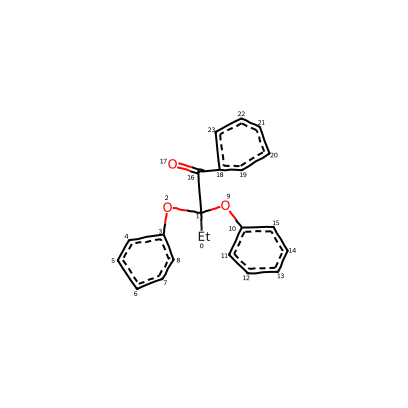 CCC(Oc1ccccc1)(Oc1ccccc1)C(=O)c1ccccc1